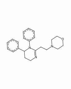 c1ccc(C2CCN=C(CCN3CCOCC3)N2c2ccccc2)cc1